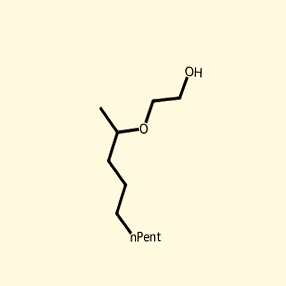 CCCCCCCCC(C)OCCO